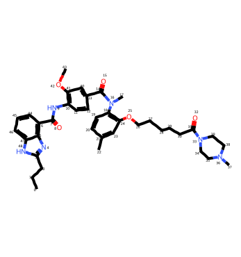 CCCc1nc2c(C(=O)Nc3ccc(C(=O)N(C)c4ccc(C)cc4OCCCCCC(=O)N4CCN(C)CC4)cc3OC)cccc2[nH]1